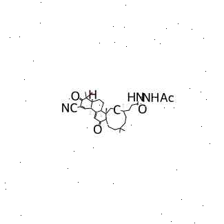 CC(=O)NNC(=O)CC[C@@]1(C)CCC(C)(C)CCC2C(=O)C=C3[C@@]4(C)C=C(C#N)C(=O)C(C)(C)[C@@H]4CC[C@@]3(C)[C@]2(C)CC1